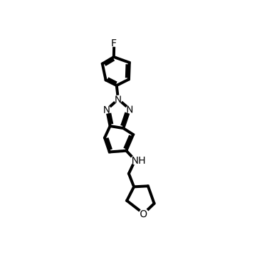 Fc1ccc(-n2nc3ccc(NCC4CCOC4)cc3n2)cc1